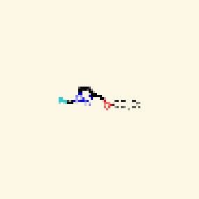 CCOC(=O)OCc1ccn(CF)n1